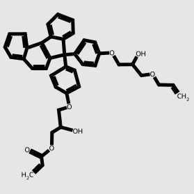 C=CCOCC(O)COc1ccc(C2(c3ccc(OCC(O)COC(=O)C=C)cc3)c3ccccc3-c3c2ccc2ccccc32)cc1